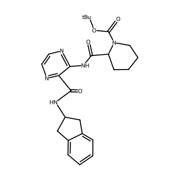 CC(C)(C)OC(=O)N1CCCCC1C(=O)Nc1nccnc1C(=O)NC1Cc2ccccc2C1